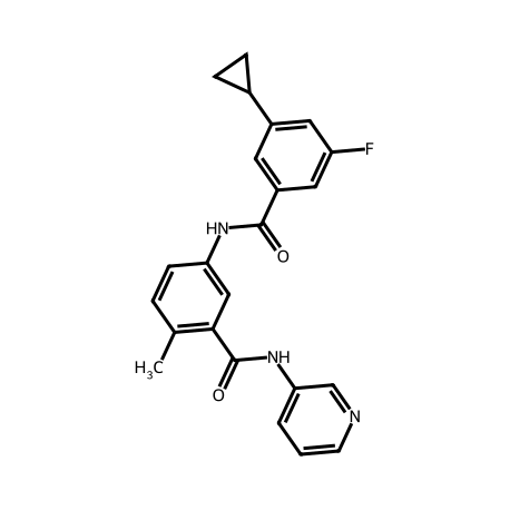 Cc1ccc(NC(=O)c2cc(F)cc(C3CC3)c2)cc1C(=O)Nc1cccnc1